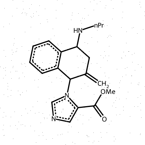 C=C1CC(NCCC)c2ccccc2C1n1cncc1C(=O)OC